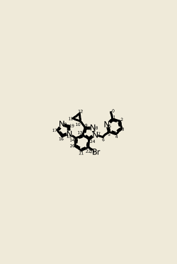 Cc1cccc(Cn2nc(C3CC3)c3c(-n4ccnc4)ccc(Br)c32)n1